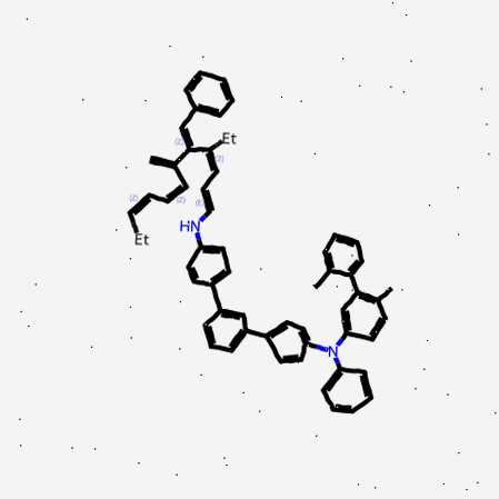 C=C(/C=C\C=C/CC)C(=C/c1ccccc1)/C(=C\C=C\Nc1ccc(-c2cccc(-c3ccc(N(c4ccccc4)c4ccc(C)c(-c5ccccc5C)c4)cc3)c2)cc1)CC